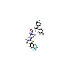 O=C(CC=C(c1ccc(F)cc1)c1ccc(F)cc1)N1CCC(N(Sc2cccc(C(F)(F)F)c2)C2CC2)CC1